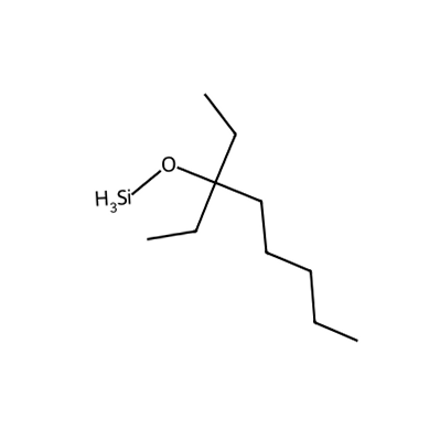 CCCCCC(CC)(CC)O[SiH3]